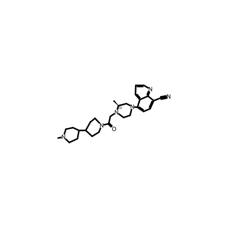 C[C@H]1CN(c2ccc(C#N)c3ncccc23)CCN1CC(=O)N1CCC(C2CCN(C)CC2)CC1